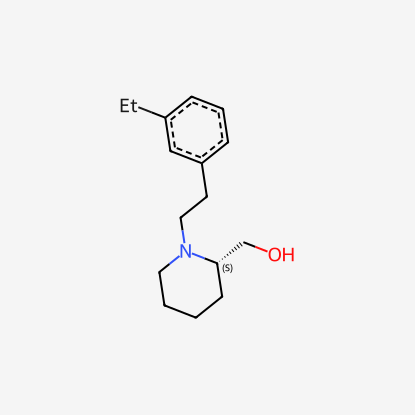 CCc1cccc(CCN2CCCC[C@H]2CO)c1